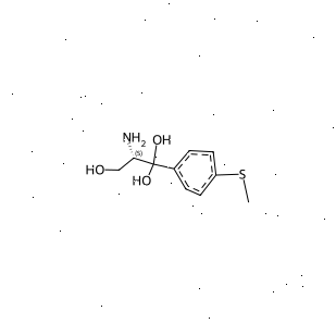 CSc1ccc(C(O)(O)[C@@H](N)CO)cc1